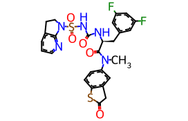 CN(C(=O)[C@H](Cc1cc(F)cc(F)c1)NC(=O)NS(=O)(=O)N1CCc2cccnc21)c1ccc2c(c1)CC(=O)S2